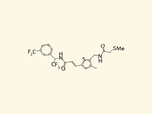 CSCC(=O)NCc1sc(C=CC(=O)NC(c2cccc(C(F)(F)F)c2)C(F)(F)F)cc1C